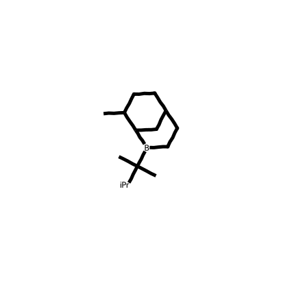 CC1CCC2CCB(C(C)(C)C(C)C)C1C2